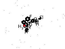 Cc1ccccc1C(C(=O)N(C)C1CC(F)(F)C1)N(C(=O)[C@H]1CCN(S(=O)(=O)NCCCl)C1)c1cccc(F)c1